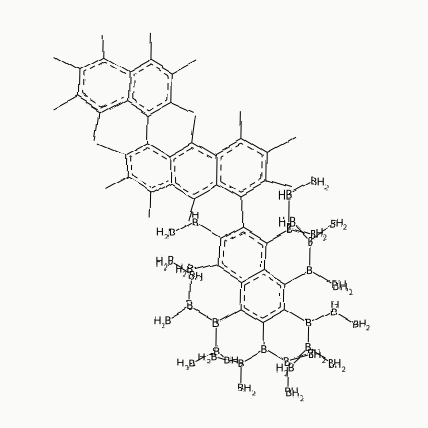 BBB(B)B(B(B)B)c1c(B(B(B)B)B(B)B)c(B(BB)B(B)B)c(B(B)B(B)B)c2c(B(B)BB)c(-c3c(C)c(C)c(C)c4c(C)c5c(-c6c(C)c(C)c(C)c7c(C)c(C)c(C)c(C)c67)c(C)c(C)c(C)c5c(C)c34)c(BB)c(B)c12